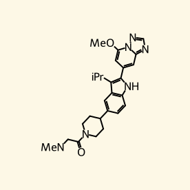 CNCC(=O)N1CCC(c2ccc3[nH]c(-c4cc(OC)n5ncnc5c4)c(C(C)C)c3c2)CC1